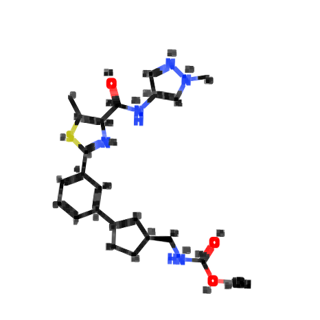 Cc1sc(-c2cccc(C3=C[C@@H](CNC(=O)OC(C)(C)C)CC3)c2)nc1C(=O)Nc1cnn(C)c1